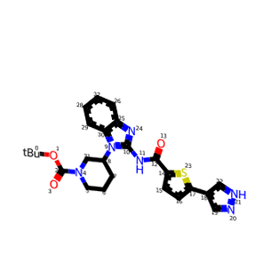 CC(C)(C)OC(=O)N1CCCC(n2c(NC(=O)c3ccc(-c4cn[nH]c4)s3)nc3ccccc32)C1